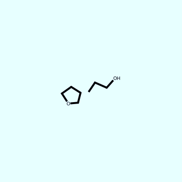 C1CCOC1.CCCO